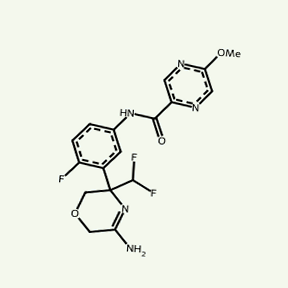 COc1cnc(C(=O)Nc2ccc(F)c(C3(C(F)F)COCC(N)=N3)c2)cn1